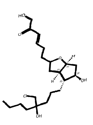 CCCCC(O)(CCl)CCC[C@@H]1[C@H]2CC(CCC=CC(=O)CO)O[C@H]2C[C@H]1O